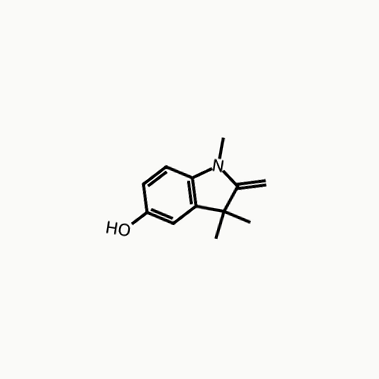 C=C1N(C)c2ccc(O)cc2C1(C)C